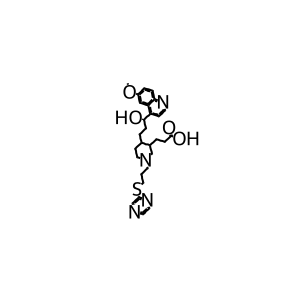 COc1ccc2nccc([C@@H](O)CCC3CCN(CCCSc4cnccn4)CC3CCC(=O)O)c2c1